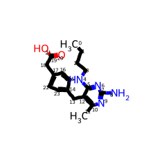 CCCCNc1nc(N)nc(C)c1Cc1ccc(CC(=O)O)cc1